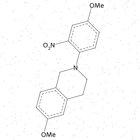 COc1ccc2c(c1)CCN(c1ccc(OC)cc1[N+](=O)[O-])C2